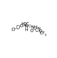 CC1(NC(=O)COc2ccc(Cl)cc2)CC(NC(=O)c2ccc(OC(F)(F)F)nc2)C1